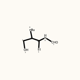 CCCCC(CO)C(CC)NC=O